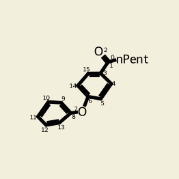 CCCCCC(=O)c1ccc(Oc2ccccc2)cc1